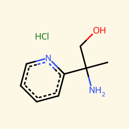 CC(N)(CO)c1ccccn1.Cl